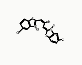 CCC(=Cc1sc2ccc(Cl)cc2[n+]1CC)C=C1Sc2ccc(Cl)cc2N1CC